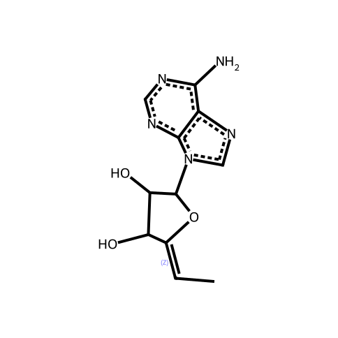 C/C=C1\OC(n2cnc3c(N)ncnc32)C(O)C1O